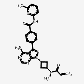 C=CC(=O)N(C)[C@H]1C[C@@H](n2nc(-c3ccc(C(=O)Nc4cccc(C)n4)cc3)c3c(N)ncnc32)C1